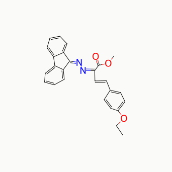 CCOc1ccc(C=CC(=NN=C2c3ccccc3-c3ccccc32)C(=O)OC)cc1